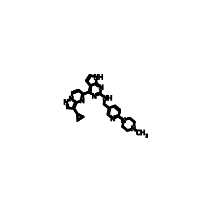 CN1CCN(c2ccc(CNc3nc(-c4ccn5ncc(C6CC6)c5n4)c4cc[nH]c4n3)cn2)CC1